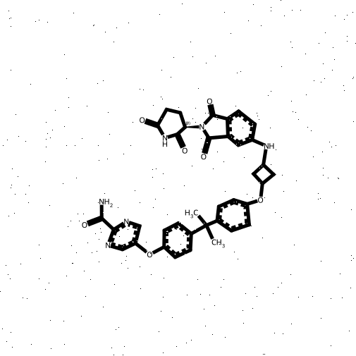 CC(C)(c1ccc(Oc2cnc(C(N)=O)nc2)cc1)c1ccc(OC2CC(Nc3ccc4c(c3)C(=O)N([C@@H]3CCC(=O)NC3=O)C4=O)C2)cc1